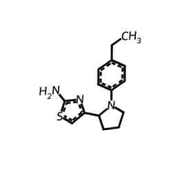 CCc1ccc(N2CCCC2c2csc(N)n2)cc1